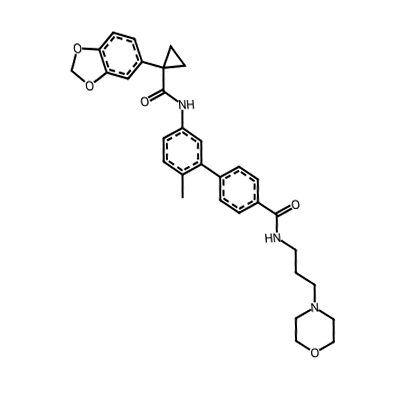 Cc1ccc(NC(=O)C2(c3ccc4c(c3)OCO4)CC2)cc1-c1ccc(C(=O)NCCCN2CCOCC2)cc1